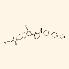 COCCNC(=O)N1CC[C@H](Oc2ccc(-c3nccc(Nc4ccc(N5CCN(C6COC6)CC5)cc4)n3)cc2C#N)[C@H](F)C1